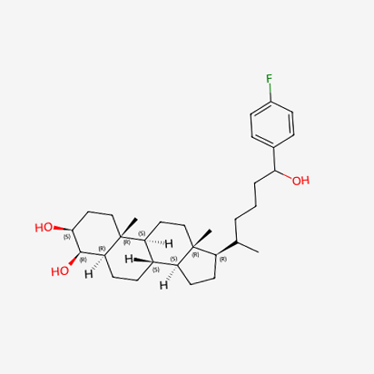 CC(CCCC(O)c1ccc(F)cc1)[C@H]1CC[C@H]2[C@@H]3CC[C@H]4[C@@H](O)[C@@H](O)CC[C@]4(C)[C@H]3CC[C@]12C